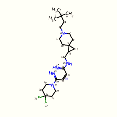 CC(C)(C)CCN1CCC2(CC1)CC2CNC(=N)/C=C\C(=N)N1CCC(F)(F)CC1